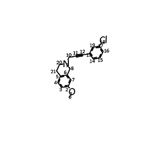 COc1ccc2c(c1)CN(CC#Cc1cccc(Cl)c1)CC2